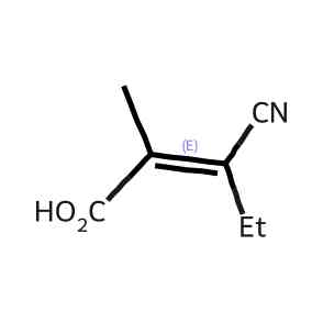 CC/C(C#N)=C(/C)C(=O)O